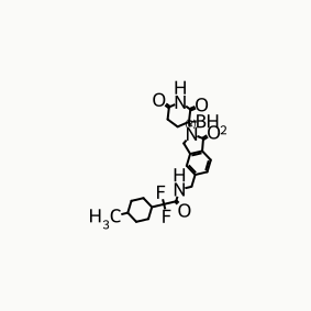 B[C@@]1(N2Cc3cc(CNC(=O)C(F)(F)C4CCC(C)CC4)ccc3C2=O)CCC(=O)NC1=O